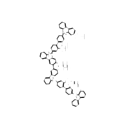 Cc1ccc2c3ccccc3n(-c3ccc(-c4ccc(-n5c6ccccc6c6cc(-c7cc8c9ccccc9n(-c9ccc(-c%10ccc(-n%11c%12ccccc%12c%12ccccc%12%11)cc%10C)c(C)c9)c8cc7C)c(C)cc65)cc4C)c(C)c3)c2c1